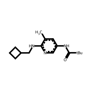 Cc1cc(NC(=O)C(C)(C)C)cnc1NCC1CCC1